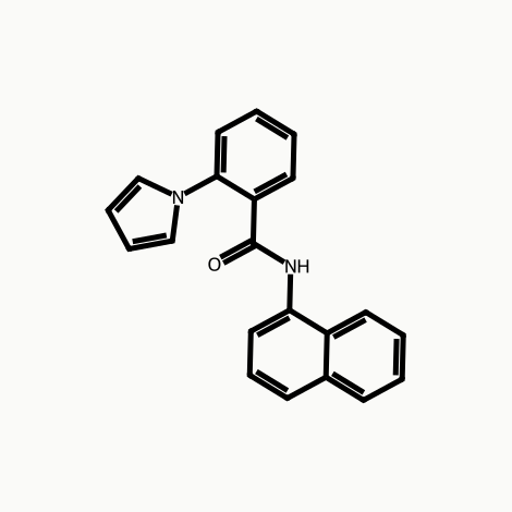 O=C(Nc1cccc2ccccc12)c1ccccc1-n1cccc1